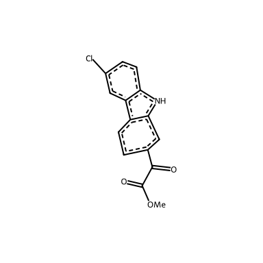 COC(=O)C(=O)c1ccc2c(c1)[nH]c1ccc(Cl)cc12